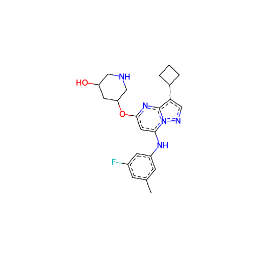 Cc1cc(F)cc(Nc2cc(OC3CNCC(O)C3)nc3c(C4CCC4)cnn23)c1